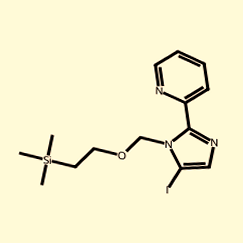 C[Si](C)(C)CCOCn1c(I)cnc1-c1ccccn1